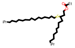 CCC(=O)OCCC(CCCCCCCCC(C)C)SCCCCCCCCCCCCCCCC(C)C